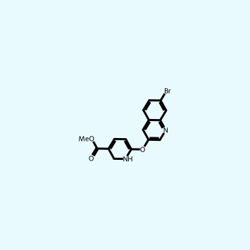 COC(=O)C1=CC=C(Oc2cnc3cc(Br)ccc3c2)NC1